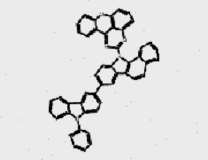 c1ccc(-n2c3ccccc3c3cc(-c4ccc5c(c4)c4ccc6ccccc6c4n5-c4nc5c6c(cccc6n4)Oc4ccccc4-5)ccc32)cc1